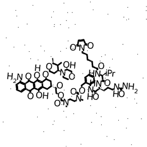 CC(C)[C@H](NC(=O)CCCCCN1C(=O)C=CC1=O)C(=O)N[C@@H](CCCNC(N)=O)C(=O)Nc1ccccc1COC(=O)N(C)CCN(C)C(=O)OCC(=O)[C@@H]1Cc2c(O)c3c(c(O)c2C(O[C@H]2C[C@H](N4CCOC[C@H]4O)C(C)[C@H](C)O2)C1)C(=O)c1c(N)cccc1C3=O